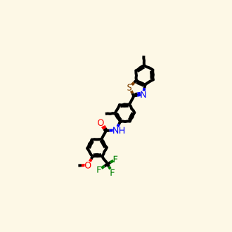 COc1ccc(C(=O)Nc2ccc(-c3nc4ccc(C)cc4s3)cc2C)cc1C(F)(F)F